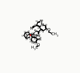 CCOc1cc(C2=NNC(N3CC4CC(C3)N4Cc3cnc(OC)c(F)c3)S2)c2c(C#N)cnn2c1